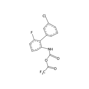 O=C(Nc1cccc(F)c1-c1cccc(Cl)c1)OC(=O)C(F)(F)F